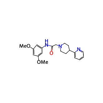 COc1cc(NC(=O)CN2CCC(c3ccccn3)CC2)cc(OC)c1